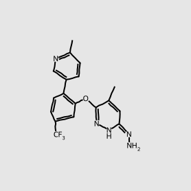 Cc1ccc(-c2ccc(C(F)(F)F)cc2Oc2n[nH]/c(=N\N)cc2C)cn1